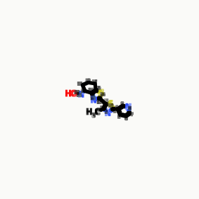 Cc1nc(-c2cccnc2)sc1-c1nc2c(s1)CCC/C2=N\O